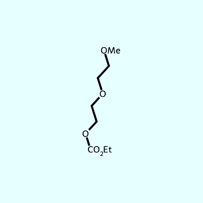 CCOC(=O)OCCOCCOC